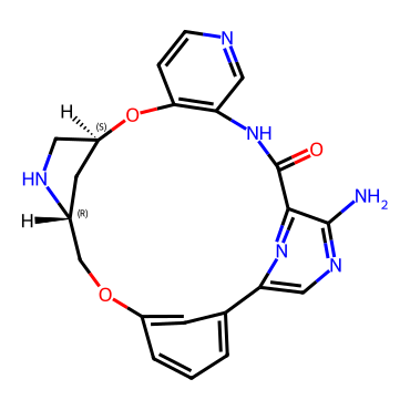 Nc1ncc2nc1C(=O)Nc1cnccc1O[C@@H]1CN[C@@H](COc3cccc-2c3)C1